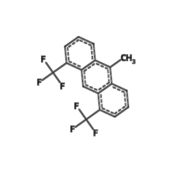 Cc1c2cccc(C(F)(F)F)c2cc2c(C(F)(F)F)cccc12